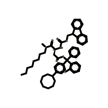 CCCCCCCCN(C)C(=O)[C@H](CC(=O)OC(c1ccccc1)(c1ccc(C2CCCCCCC2)cc1)c1ccccc1Cl)NC(=O)OCC1c2ccccc2-c2ccccc21